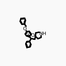 OC1(CC(c2ccccc2)c2ccc(OCc3ccccc3)cc2)CCNCC1